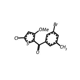 COc1cc(Cl)sc1C(=O)c1cc(C)cc(Br)c1